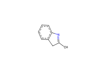 [CH]C1=Nc2ccccc2C1